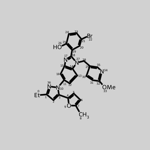 CCc1cc(-c2ccc(C)o2)n(-c2ccc3c(c2)nc(-c2cc(Br)ccc2O)n3Cc2ccc(OC)nc2)n1